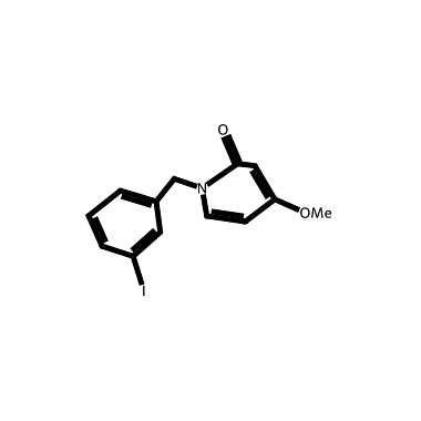 COc1ccn(Cc2cccc(I)c2)c(=O)c1